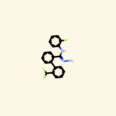 N/N=C(\Nc1ccccc1F)c1ccccc1-c1ccccc1C(F)F